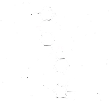 Cc1ccccc1Oc1ccc(P(=O)(O)c2ccc(Oc3ccccc3C)cc2)cc1